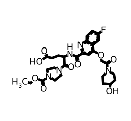 CCOC(=O)N1CCN(C(=O)C(CCC(=O)O)NC(=O)c2cc(OCC(=O)N3CCC(O)CC3)c3cc(F)ccc3n2)CC1